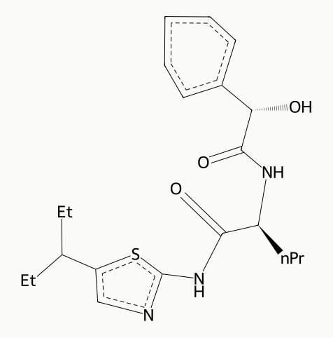 CCC[C@H](NC(=O)[C@@H](O)c1ccccc1)C(=O)Nc1ncc(C(CC)CC)s1